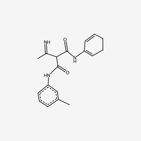 CC(=N)C(C(=O)NC1=CCCC=C1)C(=O)Nc1cccc(C)c1